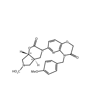 COc1ccc(CN2C(=O)COc3ccc(N4C[C@H]5CN(C(=O)O)C[C@@H]5OC4=O)nc32)cc1